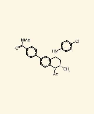 CNC(=O)c1ccc(-c2ccc3c(c2)[C@H](Nc2ccc(Cl)cc2)C[C@H](C)N3C(C)=O)cc1